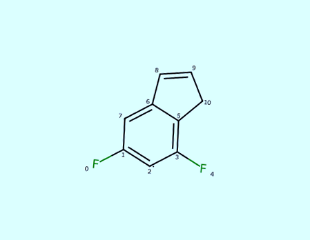 Fc1[c]c(F)c2c(c1)C=CC2